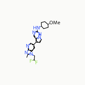 CO[C@H]1CC[C@@H](Nc2ncc3c(-c4cnc5nc(C)n(CC(F)F)c5c4)ccn3n2)CC1